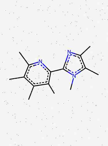 Cc1nc(-c2nc(C)c(C)n2C)c(C)c(C)c1C